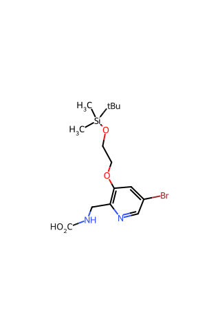 CC(C)(C)[Si](C)(C)OCCOc1cc(Br)cnc1CNC(=O)O